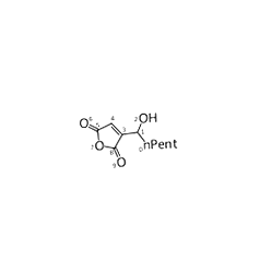 CCCCCC(O)C1=CC(=O)OC1=O